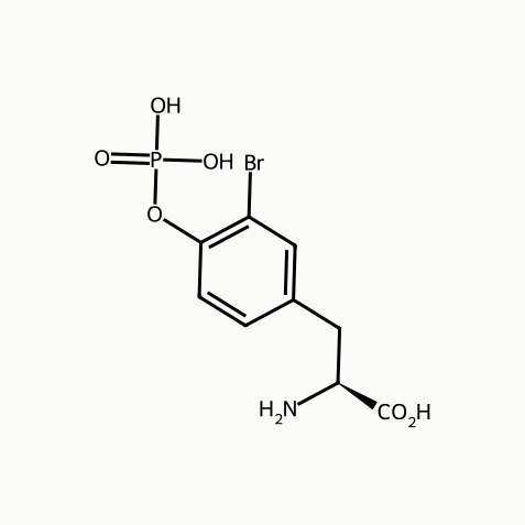 N[C@@H](Cc1ccc(OP(=O)(O)O)c(Br)c1)C(=O)O